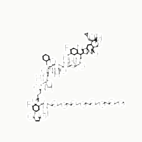 COCCOCCOCCOCCOCCOCCOCCOCCNC(=O)c1cc(N2C(=O)C=CC2=O)cc(F)c1OCCCC(=O)NCC(=O)NCC(=O)N[C@@H](Cc1ccccc1)C(=O)NCC(=O)NCO[C@@H](C)C(=O)NCc1c2c(nc3cc(F)c(C)cc13)-c1cc3c(c(=O)n1C2)COC(=O)[C@]3(O)CC1CC1